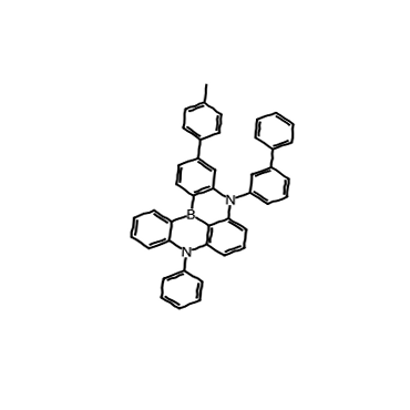 Cc1ccc(-c2ccc3c(c2)N(c2cccc(-c4ccccc4)c2)c2cccc4c2B3c2ccccc2N4c2ccccc2)cc1